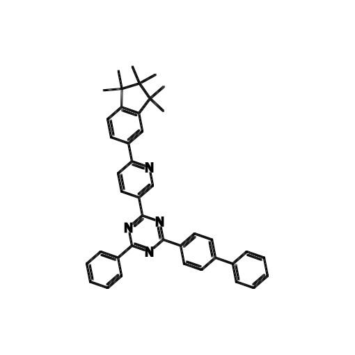 CC1(C)c2ccc(-c3ccc(-c4nc(-c5ccccc5)nc(-c5ccc(-c6ccccc6)cc5)n4)cn3)cc2C(C)(C)C1(C)C